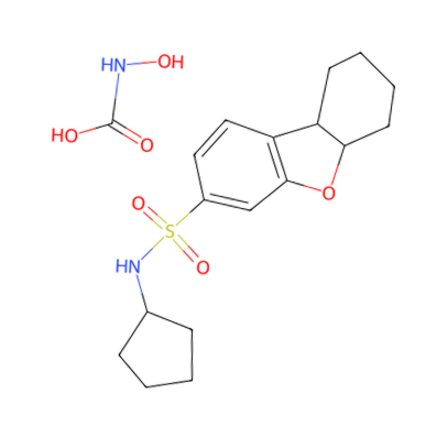 O=C(O)NO.O=S(=O)(NC1CCCC1)c1ccc2c(c1)OC1CCCCC21